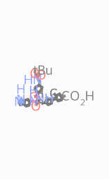 Cc1cc(C(=O)O)ccc1-c1ccc(C[C@H](NC(=O)C2CCC(CNC(=O)OC(C)(C)C)CC2)C(=O)Nc2ccc3cn[nH]c3c2)cc1